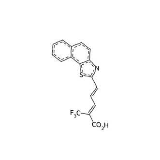 O=C(O)C(=CC=Cc1nc2ccc3ccccc3c2s1)C(F)(F)F